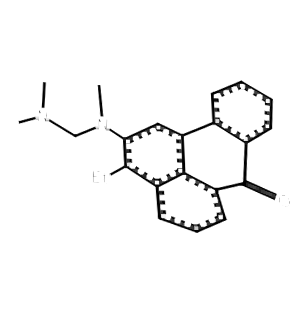 CCc1c(N(C)CN(C)C)cc2c3c(cccc13)C(=O)c1ccccc1-2